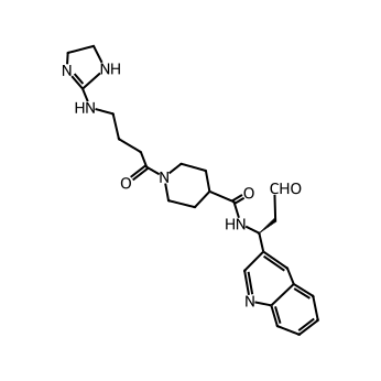 O=CC[C@H](NC(=O)C1CCN(C(=O)CCCNC2=NCCN2)CC1)c1cnc2ccccc2c1